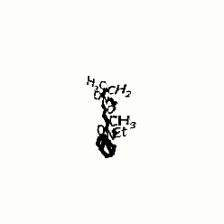 C=C(C)C(=O)N1CCOC(/C=C(\C)C(=O)N(CC)C23CC4CC(CC(C4)C2)C3)C1